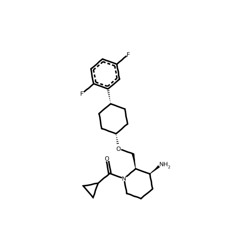 N[C@H]1CCCN(C(=O)C2CC2)[C@H]1CO[C@H]1CC[C@@H](c2cc(F)ccc2F)CC1